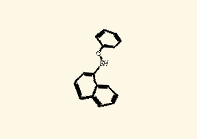 B(Oc1ccccc1)c1cccc2ccccc12